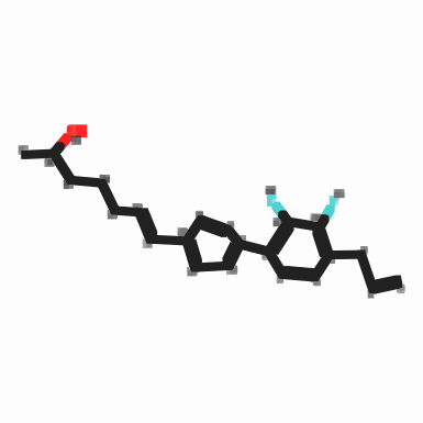 C=CCc1ccc(-c2ccc(C=CCCCC(C)O)cc2)c(F)c1F